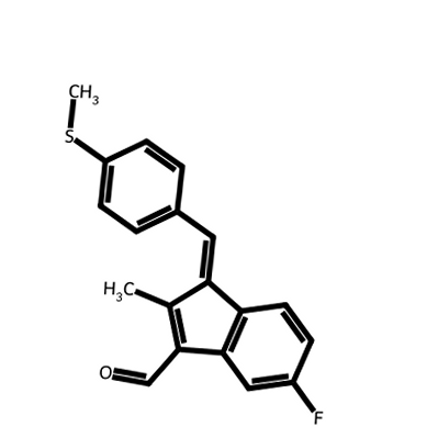 CSc1ccc(C=C2C(C)=C(C=O)c3cc(F)ccc32)cc1